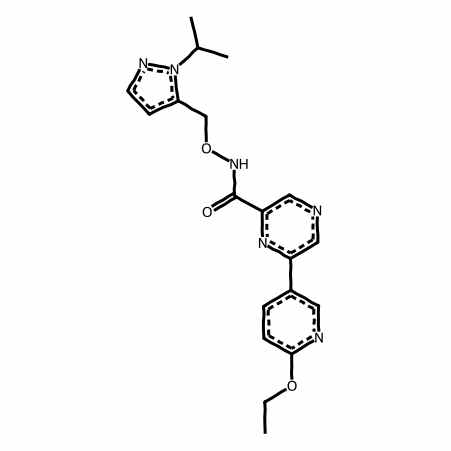 CCOc1ccc(-c2cncc(C(=O)NOCc3ccnn3C(C)C)n2)cn1